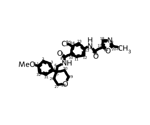 COc1ccc(C2(CNC(=O)c3ccc(NC(=O)c4cnc(C)o4)cc3Cl)CCOCC2)cc1